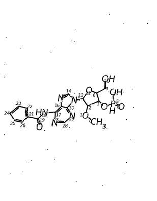 COC1C(O[PH](=O)O)C(CO)OC1n1cnc2c(NC(=O)c3ccccc3)ncnc21